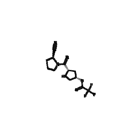 N#C[C@@H]1CCCN1C(=O)[C@@H]1C[C@H](OC(=O)C(F)(F)F)CN1